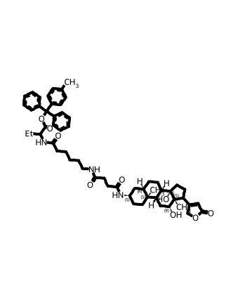 CCC(NC(=O)CCCCCNC(=O)CCC(=O)N[C@H]1CC[C@@]2(C)[C@H](CC[C@@H]3[C@@H]2C[C@@H](O)[C@]2(C)C(C4=CC(=O)OC4)CC[C@]32O)C1)C(=O)OC(c1ccccc1)(c1ccccc1)c1ccc(C)cc1